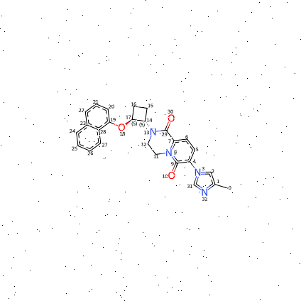 Cc1cn(-c2ccc3n(c2=O)CCN([C@H]2CC[C@@H]2Oc2cccc4ccccc24)C3=O)cn1